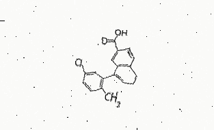 Cc1ccc(Cl)cc1C1=CCCc2ccc(C(=O)O)cc21